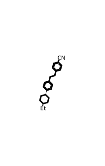 CC[C@H]1CC[C@H](c2ccc(CCc3ccc(C#N)cc3)cc2)CC1